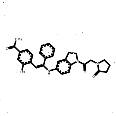 COC(=O)c1ccc(/C=C(/Nc2ccc3c(c2)CCN3C(=O)CN2CCCC2=O)c2ccccc2)c(O)c1